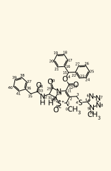 C[C@@H]1C(CSc2nnnn2C)=C(C(=O)OC(c2ccccc2)c2ccccc2)N2C(=O)C(NC(=O)Cc3ccccc3)[C@H]2[S+]1[O-]